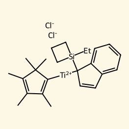 CC[Si]1([C]2([Ti+2][C]3=C(C)C(C)=C(C)C3(C)C)C=Cc3ccccc32)CCC1.[Cl-].[Cl-]